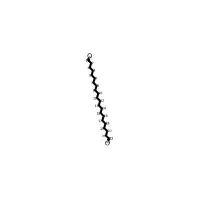 O=[C]CCCCCCCCCCCCCCCCCCCC[C]=O